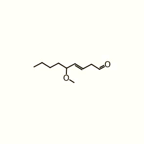 CCCCC(C=CCC=O)OC